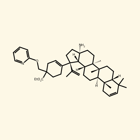 C=C(C)[C@@]1(C2=CCC(COc3ccccn3)(C(=O)OCC)CC2)CC[C@@]2(N)CC[C@]3(C)[C@H](CC[C@@H]4[C@@]5(C)CC=CC(C)(C)[C@H]5CC[C@]43C)[C@@H]21